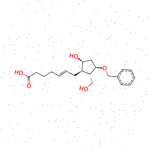 O=C(O)CCCC=CC[C@@H]1[C@@H](CO)[C@H](OCc2ccccc2)C[C@@H]1O